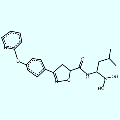 CC(C)CC(NC(=O)C1CC(c2ccc(Oc3ccccn3)cc2)=NO1)B(O)O